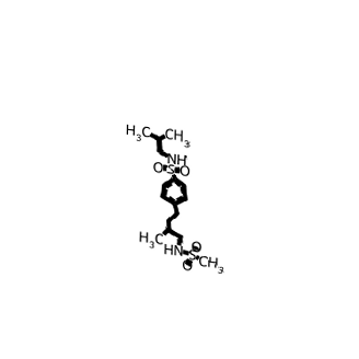 CC(C)CNS(=O)(=O)c1ccc(CCC(C)CNS(C)(=O)=O)cc1